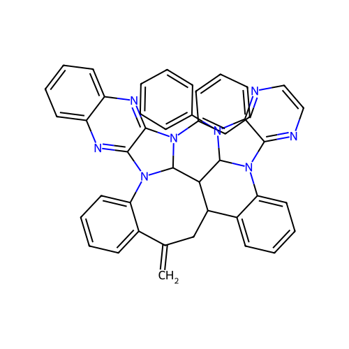 C=C1CC2c3ccccc3N3c4nccnc4N(c4ccccc4)C3C2C2N(c3ccccc3)c3nc4ccccc4nc3N2c2ccccc21